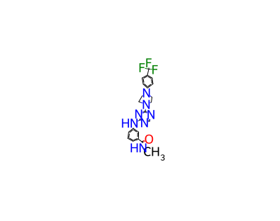 CNC(=O)c1cccc(Nc2ncnc(N3CCN(c4ccc(C(F)(F)F)cc4)CC3)n2)c1